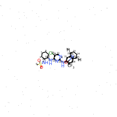 CS(=O)(=O)N[C@@H]1CCCC[C@H]1Nc1nc(Nc2ccc3c(c2)[C@H]2CC[C@@H]3CN(C(=O)C(F)(F)F)C2)ncc1Cl